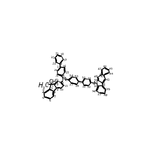 CC1(C)c2ccccc2-c2ccc(N(c3ccc(-c4ccccc4)cc3)c3ccc(-c4ccc(-n5c6ccccc6c6cc7ccccc7cc65)cc4)cc3)cc21